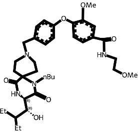 CCCCN1C(=O)[C@@H]([C@H](O)C(CC)CC)NC(=O)C12CCN(Cc1ccc(Oc3ccc(C(=O)NCCOC)cc3OC)cc1)CC2